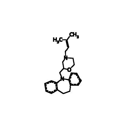 CC(C)=CCN1CCOC(CN2c3ccccc3CCc3ccccc32)C1